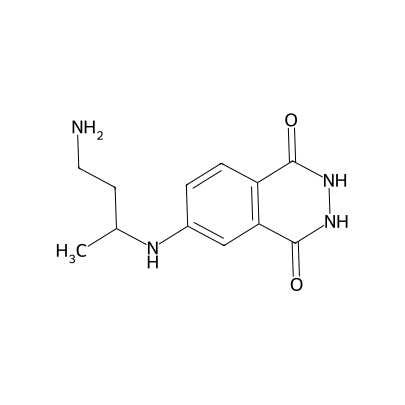 CC(CCN)Nc1ccc2c(=O)[nH][nH]c(=O)c2c1